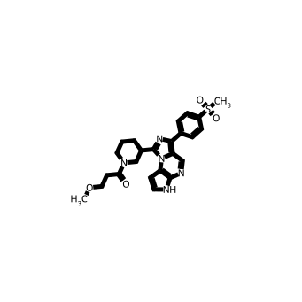 COCCC(=O)N1CCCC(c2nc(-c3ccc(S(C)(=O)=O)cc3)c3cnc4[nH]ccc4n23)C1